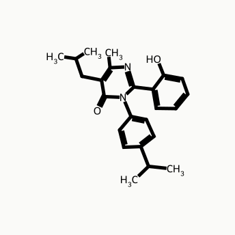 Cc1nc(-c2ccccc2O)n(-c2ccc(C(C)C)cc2)c(=O)c1CC(C)C